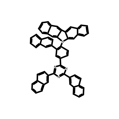 c1ccc2cc(-c3nc(-c4ccc(-n5c6cc7ccccc7cc6c6cc7ccccc7cc65)c(-c5ccc6ccccc6c5)c4)nc(-c4ccc5ccccc5c4)n3)ccc2c1